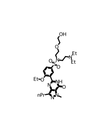 CCCc1nn(C)c2c(=O)[nH]c(-c3cc(S(=O)(=O)N(CCOCCO)CCN(CC)CC)ccc3OCC)nc12